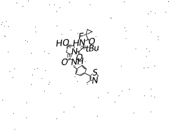 Cc1ncsc1-c1ccc(CNC(=O)[C@@H]2C[C@@H](O)CN2C(=O)[C@@H](NC(=O)C2(F)CC2)C(C)(C)C)cc1